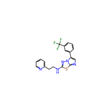 FC(F)(F)c1cccc(-c2cnc3sc(NCCc4ccccn4)nn23)c1